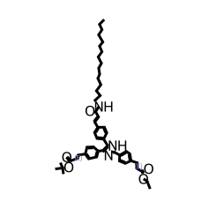 CCCCCCCCCCCCCCCCNC(=O)C=Cc1ccc(-c2[nH]c(-c3ccc(/C=C/C(=O)OCC)cc3)nc2-c2ccc(/C=C/C(=O)OC(C)(C)C)cc2)cc1